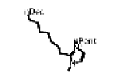 CCCCCCCCCCCCCCCCCc1n(C)cc[n+]1CCCCC